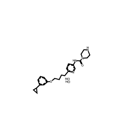 Cl.Cl.O=C(Nc1ccc(CCCCOc2cccc(C3CC3)c2)nc1)N1CCNCC1